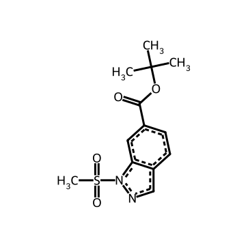 CC(C)(C)OC(=O)c1ccc2cnn(S(C)(=O)=O)c2c1